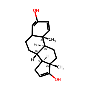 C[C@]12C=CC(O)=CC1CC[C@@H]1[C@@H]2CC[C@]2(C)C(O)=CC[C@@H]12